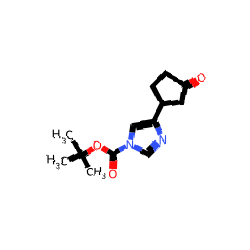 CC(C)(C)OC(=O)n1cnc(C2CCC(=O)C2)c1